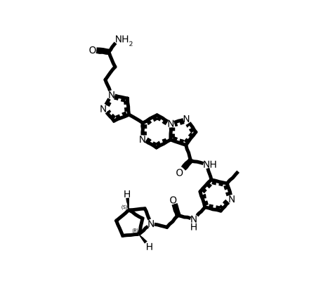 Cc1ncc(NC(=O)CN2C[C@H]3CC[C@@H]2C3)cc1NC(=O)c1cnn2cc(-c3cnn(CCC(N)=O)c3)ncc12